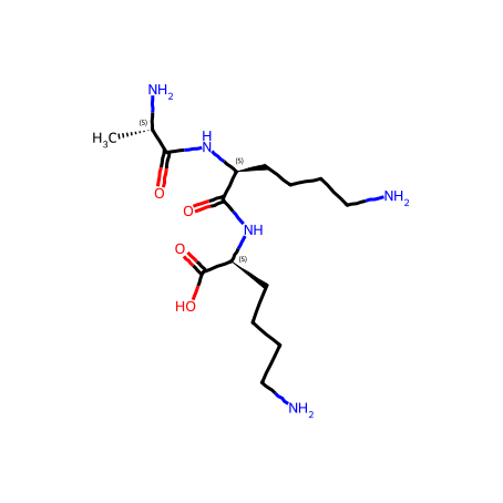 C[C@H](N)C(=O)N[C@@H](CCCCN)C(=O)N[C@@H](CCCCN)C(=O)O